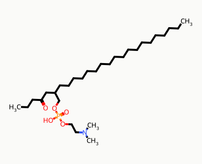 CCCCCCCCCCCCCCCCCCCC(COP(=O)(O)OCCN(C)C)CC(=O)CCC